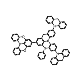 c1ccc(N2c3cc(N4c5ccccc5Cc5ccccc54)ccc3B3c4ccc(N5c6ccccc6Cc6ccccc65)cc4Cc4cc(-c5cc6c7c(c5)Oc5ccccc5B7c5ccccc5O6)cc2c43)cc1